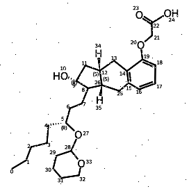 CCCCC[C@H](CCC1[C@H](O)C[C@@H]2Cc3c(cccc3OCC(=O)O)C[C@H]12)OC1CCCCO1